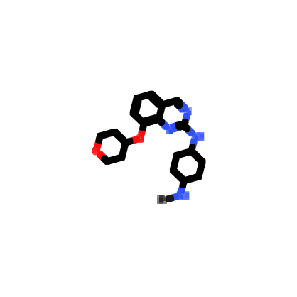 CC(C)NC1CCC(Nc2ncc3cccc(OC4CCOCC4)c3n2)CC1